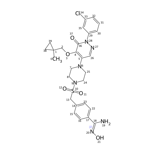 CC1(COc2c(N3CCN(S(=O)(=O)Cc4ccc(/C(N)=N/O)cc4)CC3)cnn(-c3cccc(Cl)c3)c2=O)CC1